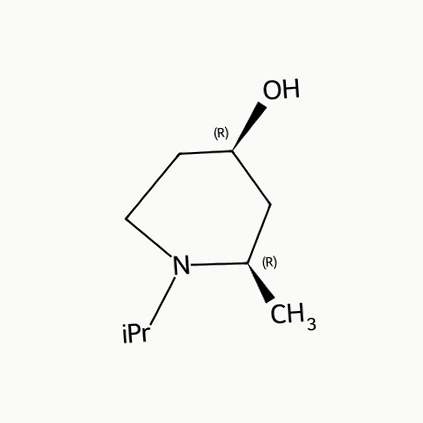 CC(C)N1CC[C@@H](O)C[C@H]1C